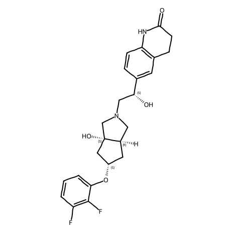 O=C1CCc2cc([C@H](O)CN3C[C@H]4C[C@H](Oc5cccc(F)c5F)C[C@@]4(O)C3)ccc2N1